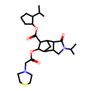 CC(C)C1CCCC1OC(=O)C1C2CC(C3CN(C(C)C)C(=O)C32)C1OC(=O)CN1CCSCC1